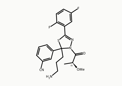 CO[C@@H](C)C(=O)N1N=C(c2cc(F)ccc2F)SC1(CCCN)c1cccc(C#N)c1